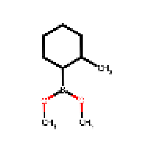 COB(OC)C1CCCCC1C